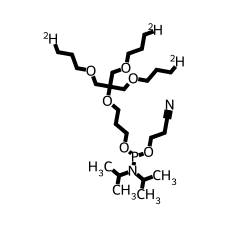 [2H]CCCOCC(COCCC[2H])(COCCC[2H])OCCCOP(OCCC#N)N(C(C)C)C(C)C